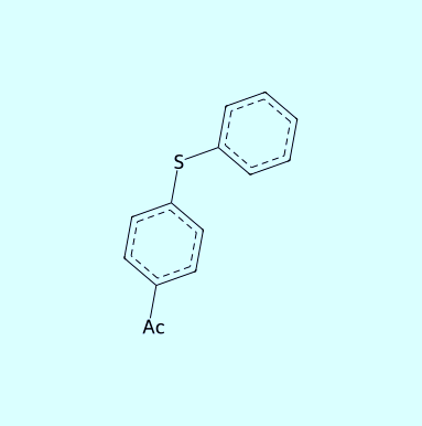 [CH2]C(=O)c1ccc(Sc2ccccc2)cc1